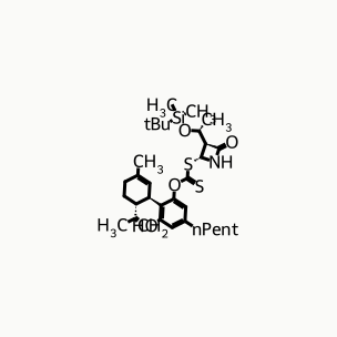 C=C(C)[C@@H]1CCC(C)=C[C@H]1c1c(O)cc(CCCCC)cc1OC(=S)S[C@H]1NC(=O)[C@@H]1[C@@H](C)O[Si](C)(C)C(C)(C)C